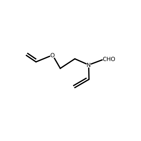 C=COCCN(C=C)C=O